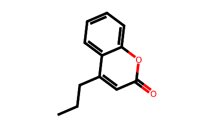 CCCc1cc(=O)oc2ccccc12